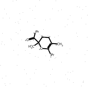 CC1=C(C(C)C)OC(C)(C(=O)C(C)C)CC1